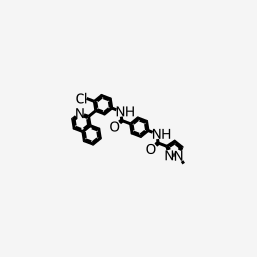 Cn1ccc(C(=O)Nc2ccc(C(=O)Nc3ccc(Cl)c(-c4nccc5ccccc45)c3)cc2)n1